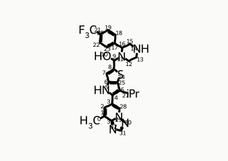 Cc1cc(-c2[nH]c3cc(C(O)N4CCNCC4c4ccc(C(F)(F)F)cc4)sc3c2C(C)C)cn2ncnc12